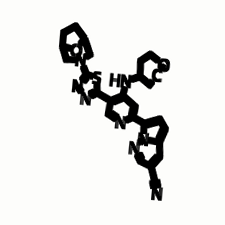 N#Cc1cnn2c(-c3cc(NC4CCOCC4)c(-c4nnc(N5CC6CCC(C5)O6)s4)cn3)ccc2c1